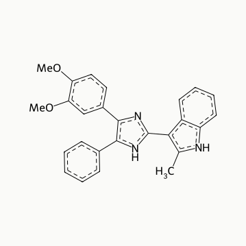 COc1ccc(-c2nc(-c3c(C)[nH]c4ccccc34)[nH]c2-c2ccccc2)cc1OC